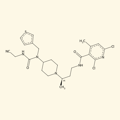 Cc1cc(Cl)nc(Cl)c1C(=O)NCC[C@@H](C)N1CCC(N(Cc2ccsc2)C(=O)NCC#N)CC1